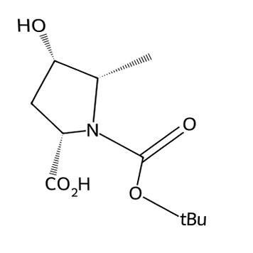 C[C@H]1[C@@H](O)C[C@@H](C(=O)O)N1C(=O)OC(C)(C)C